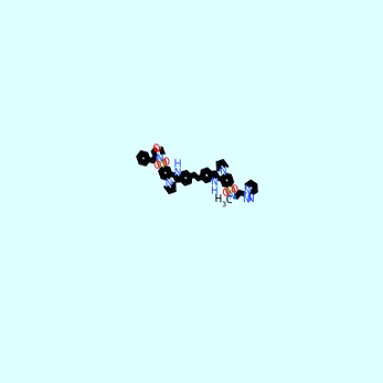 CN(CCc1nnc2ccccn12)S(=O)(=O)c1ccc(N2CCCC2)c(-c2cc3ccc(CCc4ccc5cc(-c6cc(S(=O)(=O)N7CCOCC7Cc7ccccc7)ccc6N6CCCC6)[nH]c5c4)cc3[nH]2)c1